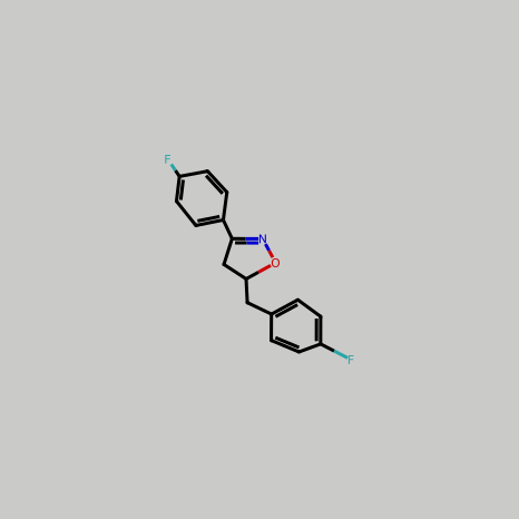 Fc1ccc(CC2CC(c3ccc(F)cc3)=NO2)cc1